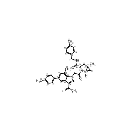 CC(=O)c1nn(CC(=O)N2[C@H](C(=O)NCc3ccc(C)cc3)C[C@@]3(C)C[C@@H]23)c2c(C)cc(-c3cnc(C)nc3)cc12